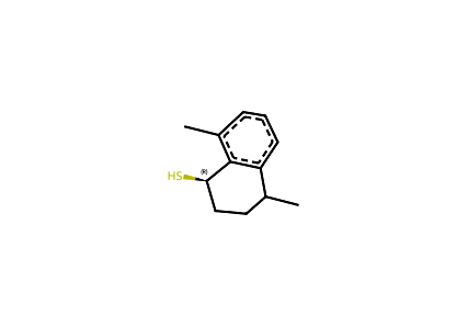 Cc1cccc2c1[C@H](S)CCC2C